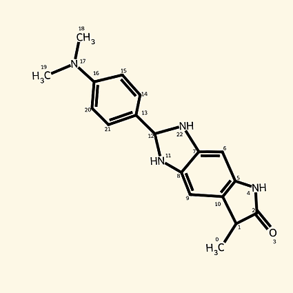 CC1C(=O)Nc2cc3c(cc21)NC(c1ccc(N(C)C)cc1)N3